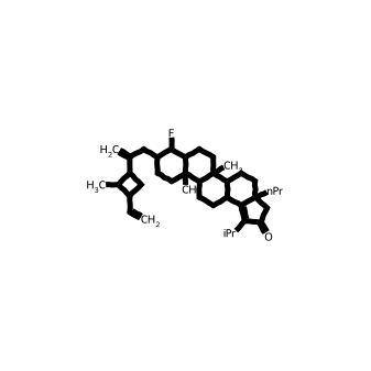 C=CC1CC(C(=C)CC2CCC3(C)C(CCC4(C)C5CCC6(CCC)CC(=O)C(C(C)C)=C6C5CCC43)C2F)C1C